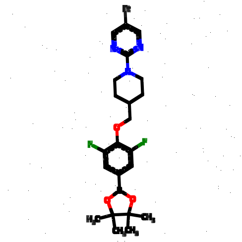 CCc1cnc(N2CCC(COc3c(F)cc(B4OC(C)(C)C(C)(C)O4)cc3F)CC2)nc1